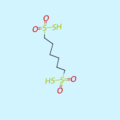 O=S(=O)(S)CCCCCCS(=O)(=O)S